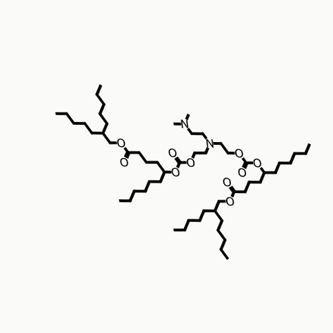 CCCCCCC(CCCC(=O)OCC(CCCCC)CCCCC)OC(=O)OCCN(CCOC(=O)OC(CCCCCC)CCCC(=O)OCC(CCCCC)CCCCC)CCN(C)C